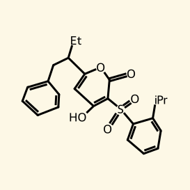 CCC(Cc1ccccc1)c1cc(O)c(S(=O)(=O)c2ccccc2C(C)C)c(=O)o1